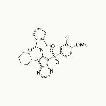 COc1ccc(S(=O)(=O)c2c(N3C(=O)c4ccccc4C3=O)n(C3CCCCC3)c3nccnc23)cc1Cl